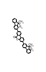 CC1(C)c2ccccc2-c2ccc(-c3ccc4c(c3)oc(=O)c3cc(-c5ccc6c(c5)C(C)(C)c5ccccc5-6)ccc34)cc21